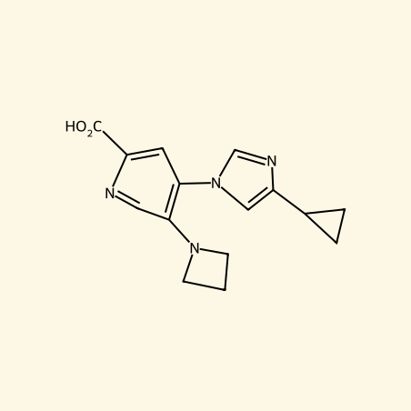 O=C(O)c1cc(-n2cnc(C3CC3)c2)c(N2CCC2)cn1